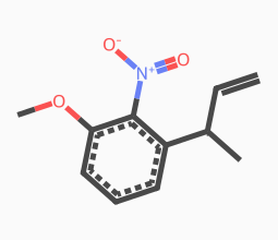 C=C[C](C)c1cccc(OC)c1[N+](=O)[O-]